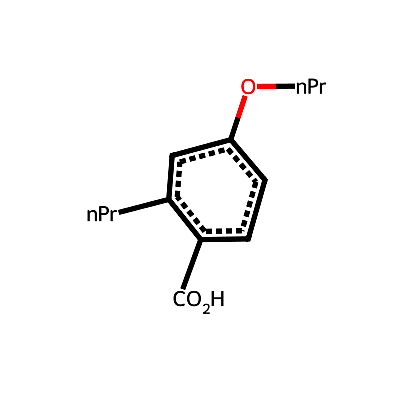 CCCOc1ccc(C(=O)O)c(CCC)c1